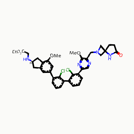 CCOC(=O)CN[C@@H]1Cc2cc(-c3cccc(-c4cccc(-c5cnc(CN6CC7(CCC(=O)N7)C6)c(OC)n5)c4Cl)c3Cl)cc(OC)c2C1